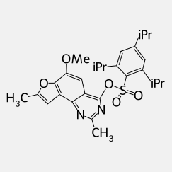 COc1cc2c(OS(=O)(=O)c3c(C(C)C)cc(C(C)C)cc3C(C)C)nc(C)nc2c2cc(C)oc12